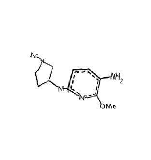 COc1nc(NC2CCN(C(C)=O)C2)ccc1N